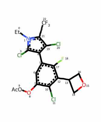 CCn1c(Cl)c(-c2cc(OOC(C)=O)c(Cl)c(C3COC3)c2F)c(Cl)c1C(F)(F)F